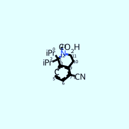 CC(C)C1(C(C)C)c2cccc(C#N)c2CCN1C(=O)O